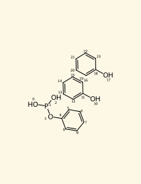 OP(O)Oc1ccccc1.Oc1ccccc1.Oc1ccccc1